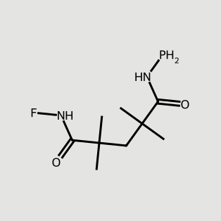 CC(C)(CC(C)(C)C(=O)NP)C(=O)NF